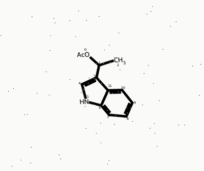 CC(=O)OC(C)c1c[nH]c2ccccc12